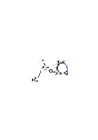 COc1cc2cc(c1Cl)N(C)C(=O)C[C@H](OC(=O)[C@H](C)N(C)C(=O)c1ccc(NC(=O)[C@H](CCCNC(N)=O)NC(=O)[C@@H](NC(=O)CCCCCN3C(=O)CC(C(C)(C)N)C3=O)C(C)C)cc1)[C@]1(C)O[C@H]1[C@H](C)[C@@H]1C[C@@](O)(NC(=O)O1)[C@H](OC)/C=C/C=C(\C)C2